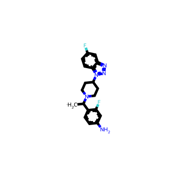 [CH2]C(c1ccc(N)cc1F)N1CCC(n2nnc3cc(F)ccc32)CC1